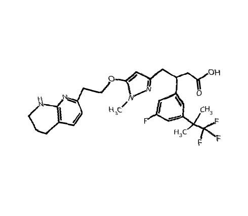 Cn1nc(CC(CC(=O)O)c2cc(F)cc(C(C)(C)C(F)(F)F)c2)cc1OCCc1ccc2c(n1)NCCC2